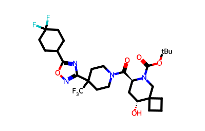 CC(C)(C)OC(=O)N1CC2(CCC2)[C@H](O)C[C@H]1C(=O)N1CCC(c2noc(C3CCC(F)(F)CC3)n2)(C(F)(F)F)CC1